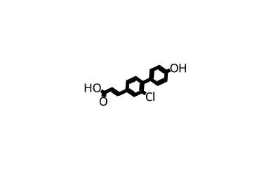 O=C(O)C=Cc1ccc(-c2ccc(O)cc2)c(Cl)c1